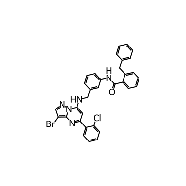 O=C(Nc1cccc(CNc2cc(-c3ccccc3Cl)nc3c(Br)cnn23)c1)c1ccccc1Cc1ccccc1